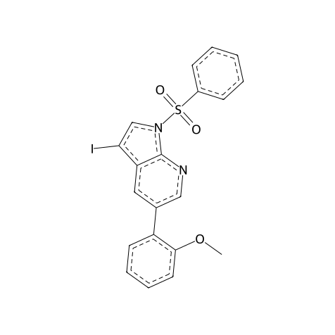 COc1ccccc1-c1cnc2c(c1)c(I)cn2S(=O)(=O)c1ccccc1